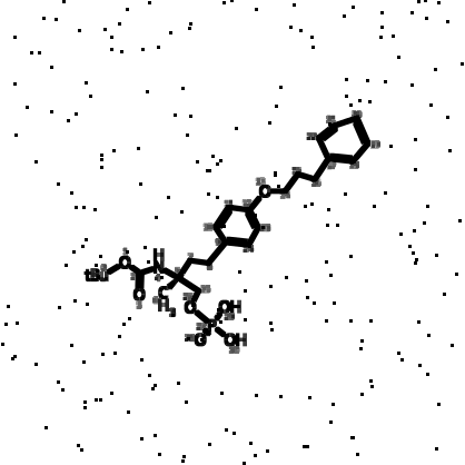 CC(C)(C)OC(=O)N[C@](C)(CCc1ccc(OCCCc2ccccc2)cc1)COP(=O)(O)O